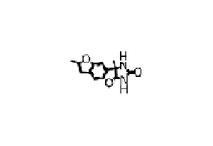 CC1Cc2ccc(C3(C)NC(=O)NC3=O)cc2O1